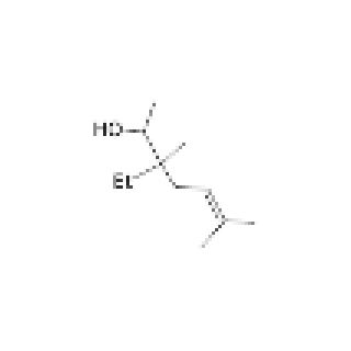 CCC(C)(CC=C(C)C)C(C)O